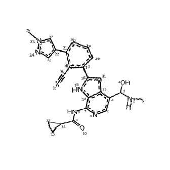 CNC(O)c1cnc(NC(=O)C2CC2)c2[nH]c(-c3cccc(-c4cnn(C)c4)c3C#N)cc12